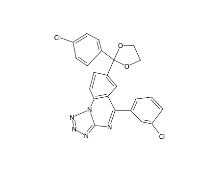 Clc1ccc(C2(c3ccc4c(c3)c(-c3cccc(Cl)c3)nc3nnnn34)OCCO2)cc1